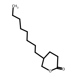 CCCCCCCCC1CCC(=O)OC1